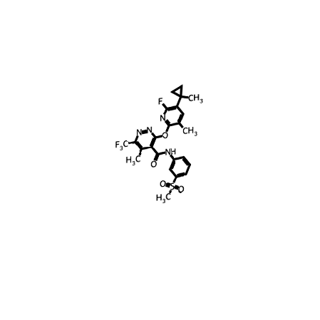 Cc1cc(C2(C)CC2)c(F)nc1Oc1nnc(C(F)(F)F)c(C)c1C(=O)Nc1cccc(S(C)(=O)=O)c1